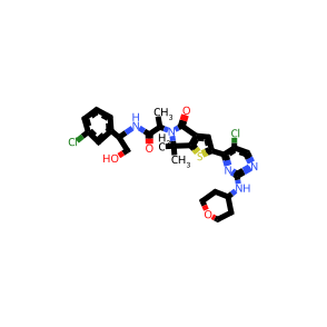 CC(C(=O)NC(CO)c1cccc(Cl)c1)N1C(=O)c2cc(-c3nc(NC4CCOCC4)ncc3Cl)sc2C1(C)C